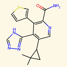 CC1(C)CC1c1cnc(C(N)=O)c(-c2ccsc2)c1-c1nnc[nH]1